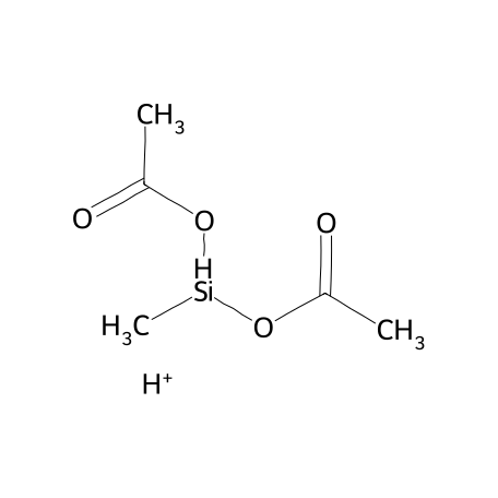 CC(=O)O[SiH](C)OC(C)=O.[H+]